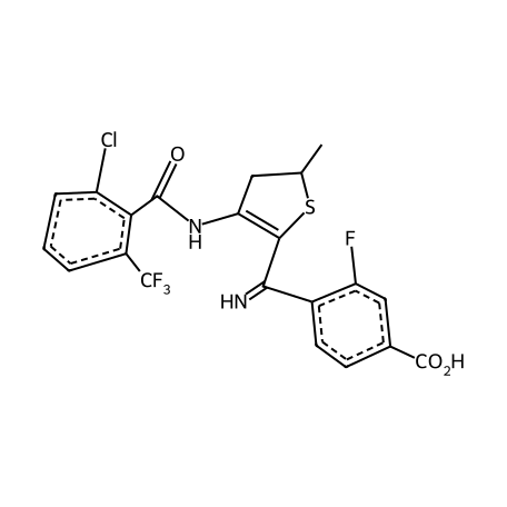 CC1CC(NC(=O)c2c(Cl)cccc2C(F)(F)F)=C(C(=N)c2ccc(C(=O)O)cc2F)S1